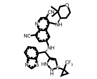 CC1(C)COCC[C@H]1Nc1c(C#N)cnc2c(C#N)cc(N[C@H](C3=CN(C4(C(F)(F)F)CC4)NN3)c3cccc4ncsc34)cc12